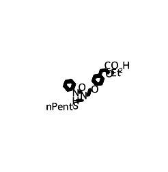 CCCCCSCCN(CCOc1ccc(CC(OCC)C(=O)O)cc1)C(=O)Nc1ccccc1